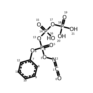 O=C=NOP(=O)(Oc1ccccc1)OP(=O)(O)OP(=O)(O)O